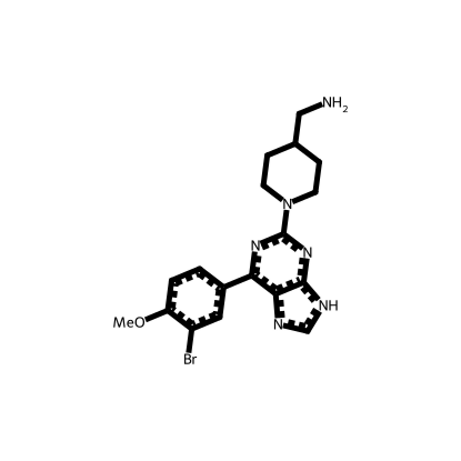 COc1ccc(-c2nc(N3CCC(CN)CC3)nc3[nH]cnc23)cc1Br